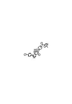 Cc1ncc(C(=O)N2CCC(O)(Cn3cnc4c(cnn4-c4ccc(Cl)cc4)c3=O)CC2)o1